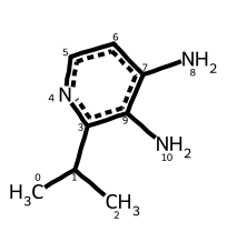 CC(C)c1nccc(N)c1N